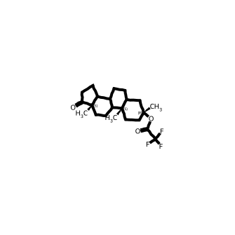 C[C@@]1(OC(=O)C(F)(F)F)CC[C@@]2(C)C(CCC3C2CC[C@]2(C)C(=O)CCC32)C1